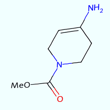 COC(=O)N1CC=C(N)CC1